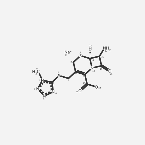 Cn1nnnc1SCC1=C(C(=O)[O-])N2C(=O)C(N)[C@@H]2SC1.[Na+]